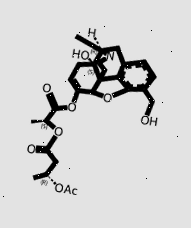 CC(=O)O[C@H](C)CC(=O)O[C@@H](C)C(=O)OC1=CC[C@@]2(O)[C@H]3Cc4ccc(CO)c5c4C2(CCN3C)C1O5